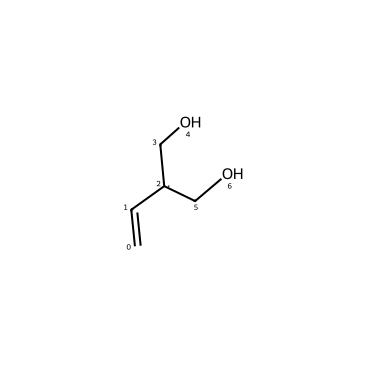 C=C[C](CO)CO